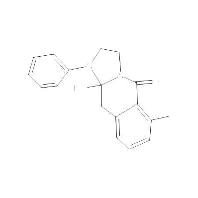 Cc1cccc2c1C(=O)N1CCN(c3ccccc3)C1(C(F)(F)F)C2